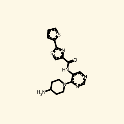 NC1CCN(c2ncncc2NC(=O)c2csc(-c3cccs3)n2)CC1